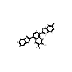 Cc1ccc2nc(-c3ccc(-c4nc5ccccc5o4)c4cc(Cl)c(Cl)cc34)oc2c1